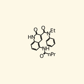 CCCC(=O)Nc1cccc2[nH]c(=O)c(C(=O)N(CC)c3ccccc3)cc12